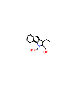 CCc1c(CO)n(CO)c2c1=CC1=CC=CCC=21